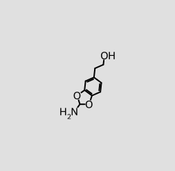 NC1Oc2ccc(CCO)cc2O1